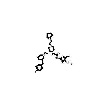 CC(=O)c1sc(NC(=O)N[C@@H]2CCN(CCN3CCCC3)C[C@H]2CCN2CCCC(Cc3ccc(F)cc3)C2)nc1C